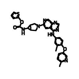 Cc1ccc(Oc2ccc(Nc3ncnc4cnc(N5CC6C(C5)C6NC(=O)Oc5cccs5)cc34)cc2C)cn1